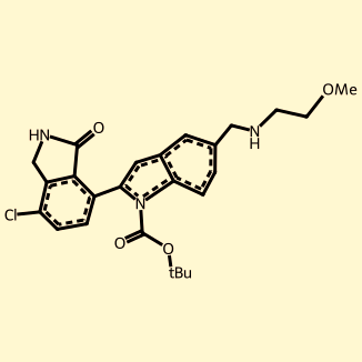 COCCNCc1ccc2c(c1)cc(-c1ccc(Cl)c3c1C(=O)NC3)n2C(=O)OC(C)(C)C